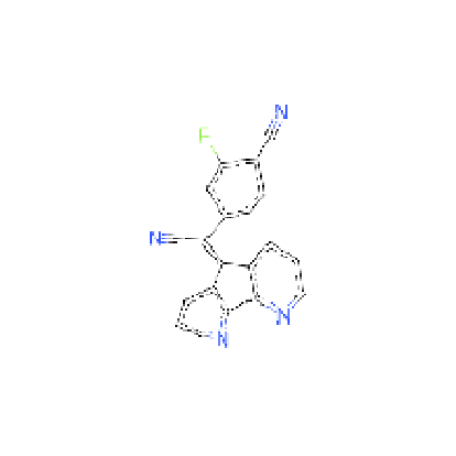 N#CC(=C1c2cccnc2-c2ncccc21)c1ccc(C#N)c(F)c1